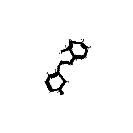 Cc1cccc(C=Cc2ccccc2C)c1